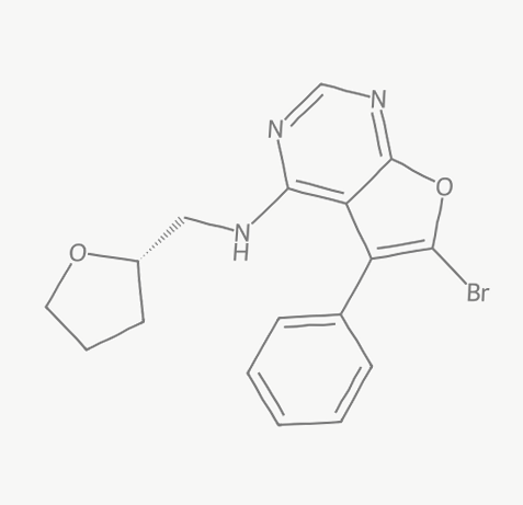 Brc1oc2ncnc(NC[C@@H]3CCCO3)c2c1-c1ccccc1